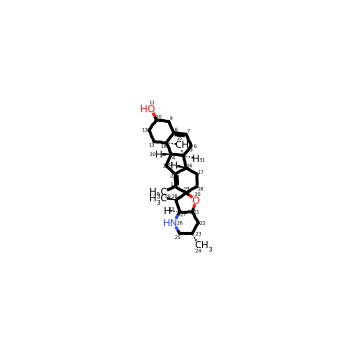 CC1=C2C[C@H]3[C@@H](CC=C4CC(O)CC[C@@]43C)[C@@H]2CCC12OC1C[C@H](C)CN[C@H]1[C@H]2C